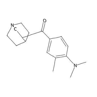 Cc1cc(C(=O)C2CN3CCC2CC3)ccc1N(C)C